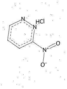 Cl.O=[N+]([O-])c1cccnn1